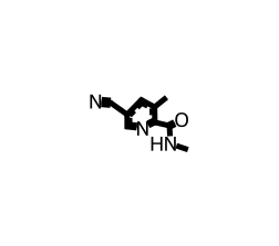 CNC(=O)c1ncc(C#N)cc1C